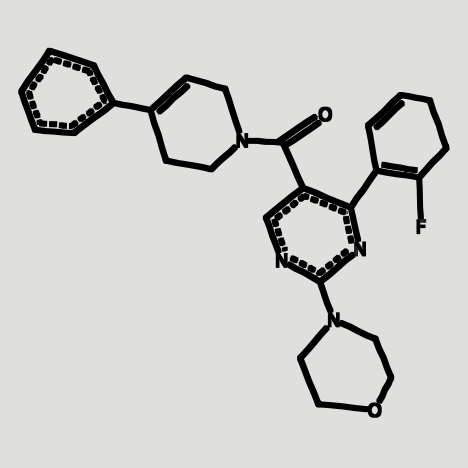 O=C(c1cnc(N2CCOCC2)nc1C1=C(F)CCC=C1)N1CC=C(c2ccccc2)CC1